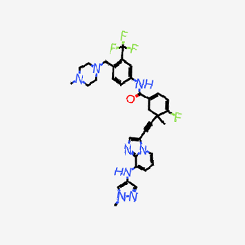 CN1CCN(Cc2ccc(NC(=O)C3=CC=C(F)C(C)(C#Cc4cnc5c(Nc6cnn(C)c6)cccn45)C3)cc2C(F)(F)F)CC1